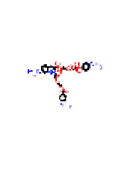 Nc1ccc(CC(NC(=O)COCCOC(=O)c2ccc(N)cc2)C(=O)OCCOCC(=O)Oc2ccc(N)cc2)cc1